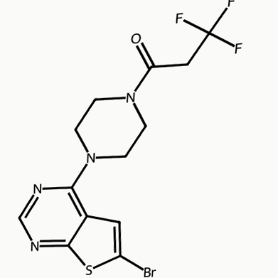 O=C(CC(F)(F)F)N1CCN(c2ncnc3sc(Br)cc23)CC1